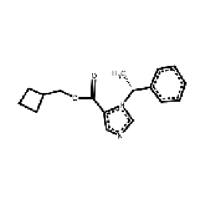 C[C@H](c1ccccc1)n1cncc1C(=O)OCC1CCC1